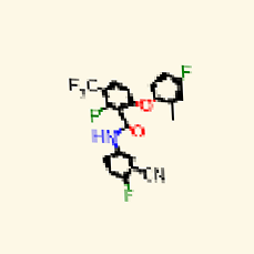 Cc1cc(F)ccc1Oc1ccc(C(F)(F)F)c(F)c1C(=O)Nc1ccc(F)c(C#N)c1